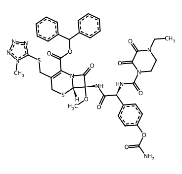 CCN1CCN(C(=O)N[C@H](C(=O)N[C@]2(OC)C(=O)N3C(C(=O)OC(c4ccccc4)c4ccccc4)=C(CSc4nnnn4C)CS[C@H]32)c2ccc(OC(N)=O)cc2)C(=O)C1=O